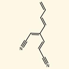 C=CC=CC(C=CC#N)=CC#N